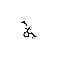 O=C(OCC1CO1)C1CCCCC1CC1CO1